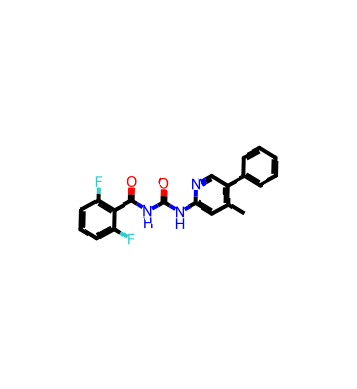 Cc1cc(NC(=O)NC(=O)c2c(F)cccc2F)ncc1-c1ccccc1